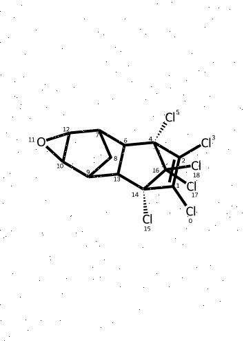 ClC1=C(Cl)[C@]2(Cl)C3C4CC(C5OC45)C3[C@@]1(Cl)C2(Cl)Cl